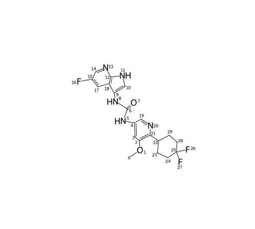 COc1cc(NC(=O)Nc2c[nH]c3ncc(F)cc23)cnc1C1CCC(F)(F)CC1